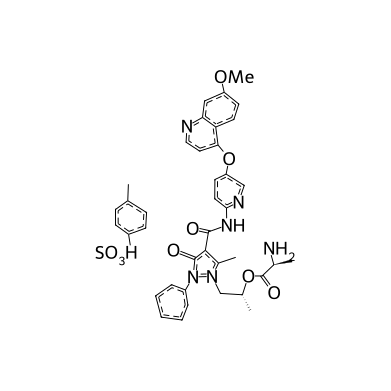 COc1ccc2c(Oc3ccc(NC(=O)c4c(C)n(C[C@@H](C)OC(=O)[C@H](C)N)n(-c5ccccc5)c4=O)nc3)ccnc2c1.Cc1ccc(S(=O)(=O)O)cc1